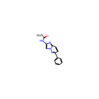 CNC(=O)Nc1cn2nc(-c3ccccc3)ccc2n1